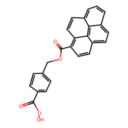 O=C(OO)c1ccc(COC(=O)c2ccc3ccc4cccc5ccc2c3c45)cc1